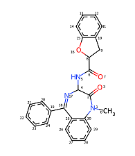 CN1C(=O)C(NC(=O)C2Cc3ccccc3O2)N=C(c2ccccc2)c2ccccc21